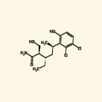 CC[C@@H](C[C@@H](C)c1c(O)ccc(Cl)c1Cl)[C@H](CO)C(N)=O